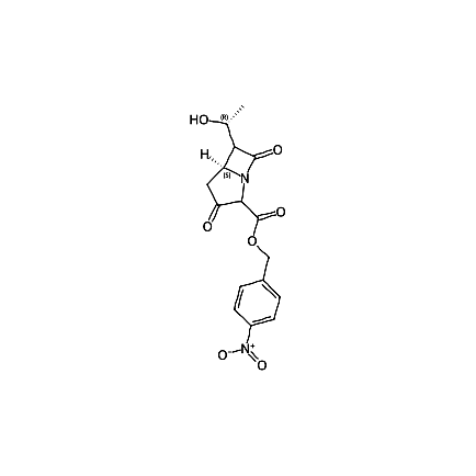 C[C@@H](O)C1C(=O)N2C(C(=O)OCc3ccc([N+](=O)[O-])cc3)C(=O)C[C@@H]12